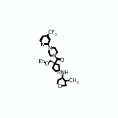 CCOC[C@]1(C(=O)N2CCN(c3cc(C(F)(F)F)ccn3)CC2)CC[C@@H](NC2CCOCC2C)C1